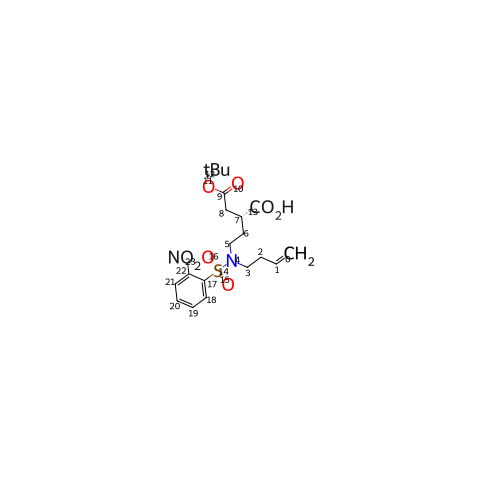 C=CCCN(CC[C@H](CC(=O)OC(C)(C)C)C(=O)O)S(=O)(=O)c1ccccc1[N+](=O)[O-]